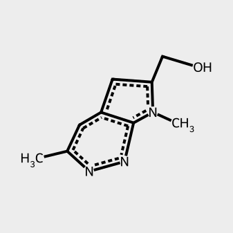 Cc1cc2cc(CO)n(C)c2nn1